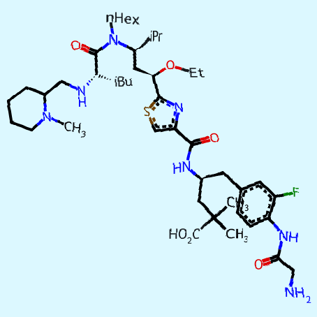 CCCCCCN(C(=O)[C@@H](NCC1CCCCN1C)[C@@H](C)CC)[C@H](C[C@@H](OCC)c1nc(C(=O)N[C@@H](Cc2ccc(NC(=O)CN)c(F)c2)CC(C)(C)C(=O)O)cs1)C(C)C